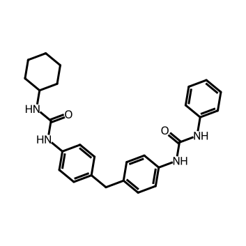 O=C(Nc1ccccc1)Nc1ccc(Cc2ccc(NC(=O)NC3CCCCC3)cc2)cc1